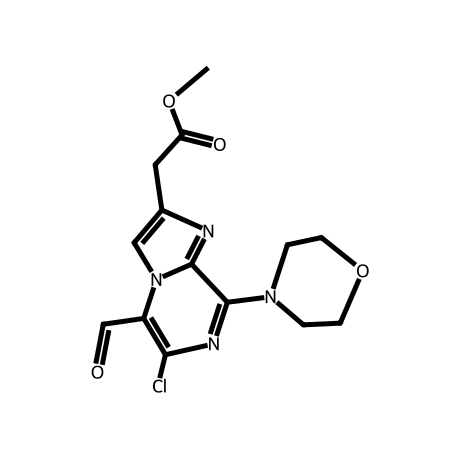 COC(=O)Cc1cn2c(C=O)c(Cl)nc(N3CCOCC3)c2n1